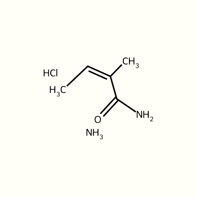 CC=C(C)C(N)=O.Cl.N